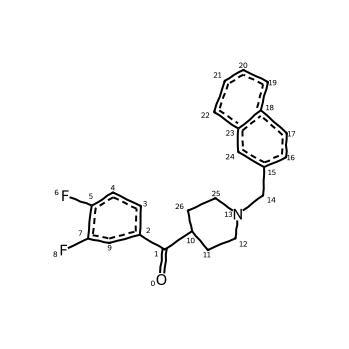 O=C(c1ccc(F)c(F)c1)C1CCN(Cc2ccc3ccccc3c2)CC1